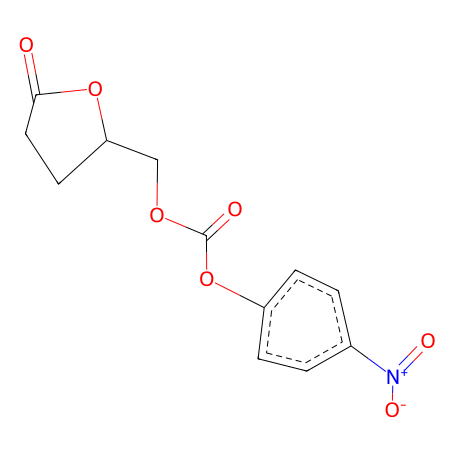 O=C1CCC(COC(=O)Oc2ccc([N+](=O)[O-])cc2)O1